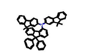 CC1(C)c2ccccc2-c2ccc(N(c3ccc4c(c3)C(C)(C)c3ccccc3-4)c3cccc4c3-c3ccccc3C4(c3ccccc3)c3ccccc3)cc21